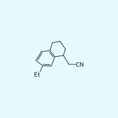 CCc1ccc2c(c1)C(CC#N)CCC2